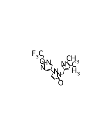 Cc1cc(Cn2nc(-c3cnc(OCC(F)(F)F)nc3)ccc2=O)cnc1C